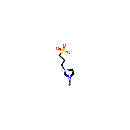 CCn1cc[n+](CCCS(=O)(=O)[O-])c1